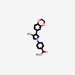 COC(=O)c1ccc(-n2cc(C#N)c(-c3ccc4c(c3)OCCO4)c2)cc1